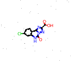 O=C(O)c1nc2c3ccc(Cl)cc3[nH]c(=O)n2n1